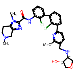 COc1nc(-c2cccc(-c3cccc(NC(=O)c4nc5c(n4C)CCN(C)C5)c3Cl)c2Cl)ccc1CN[C@H]1COC[C@@H]1O